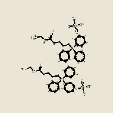 CCOC(=O)CCCC[P+](c1ccccc1)(c1ccccc1)c1ccccc1.CCOC(=O)CCCC[P+](c1ccccc1)(c1ccccc1)c1ccccc1.[Cl][Mn-]([Cl])([Cl])[Br].[Cl][Mn-]([Cl])([Cl])[Br]